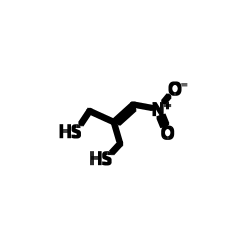 O=[N+]([O-])C=C(CS)CS